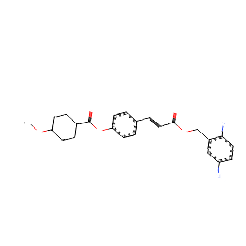 CCCOC1CCC(C(=O)Oc2ccc(/C=C/C(=O)OCc3cc(N)ccc3N)cc2)CC1